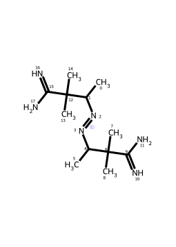 CC(/N=N/C(C)C(C)(C)C(=N)N)C(C)(C)C(=N)N